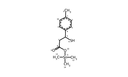 Cc1ccc(C(S)CC(=O)[O][Sn]([CH3])([CH3])[CH3])cc1